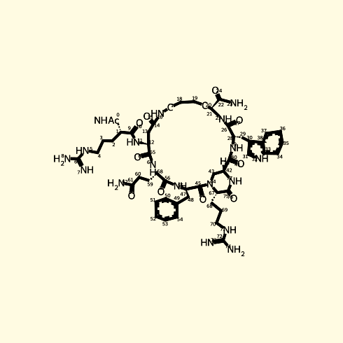 CC(=O)N[C@@H](CCCNC(=N)N)C(=O)N[C@H]1CC(=O)NCCCC[C@@H](C(N)=O)NC(=O)[C@H](Cc2c[nH]c3ccccc23)NC(=O)[C@H]2CN(C(=O)[C@@H](Cc3ccccc3)NC(=O)[C@H](CCC(N)=O)NC1=O)[C@@H](CCCNC(=N)N)C(=O)N2